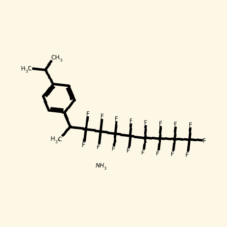 CC(C)c1ccc(C(C)C(F)(F)C(F)(F)C(F)(F)C(F)(F)C(F)(F)C(F)(F)C(F)(F)C(F)(F)F)cc1.N